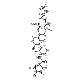 COc1nc(-c2ccc(F)c(C3=C(C)C(NC(=O)c4nn(C)c(=O)n(C)c4=O)=CCC3)c2Cl)cc2c1[C@@H](N1CC3(CCC(=O)N3)C1)CC2